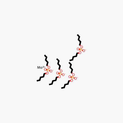 CCCCCOP(=O)([O-])OCCCCC.CCCCCOP(=O)([O-])OCCCCC.CCCCCOP(=O)([O-])OCCCCC.CCCCCOP(=O)([O-])OCCCCC.[Mo+4]